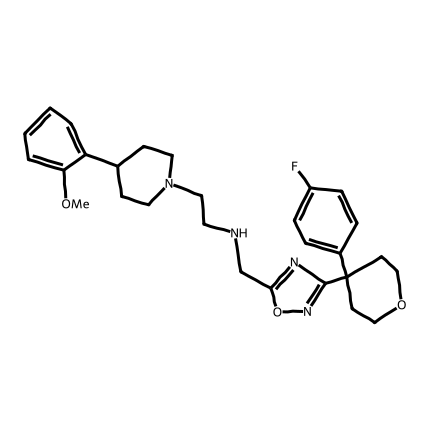 COc1ccccc1C1CCN(CCNCc2nc(C3(c4ccc(F)cc4)CCOCC3)no2)CC1